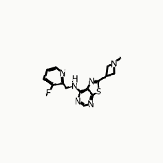 CN1CC(c2nc3c(NCc4ncccc4F)ncnc3s2)C1